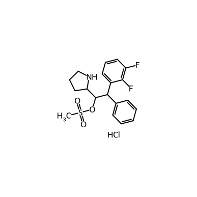 CS(=O)(=O)OC(C1CCCN1)C(c1ccccc1)c1cccc(F)c1F.Cl